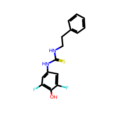 Oc1c(F)cc(NC(=S)NCCc2ccccc2)cc1F